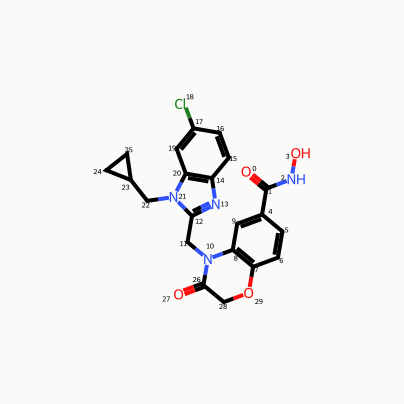 O=C(NO)c1ccc2c(c1)N(Cc1nc3ccc(Cl)cc3n1CC1CC1)C(=O)CO2